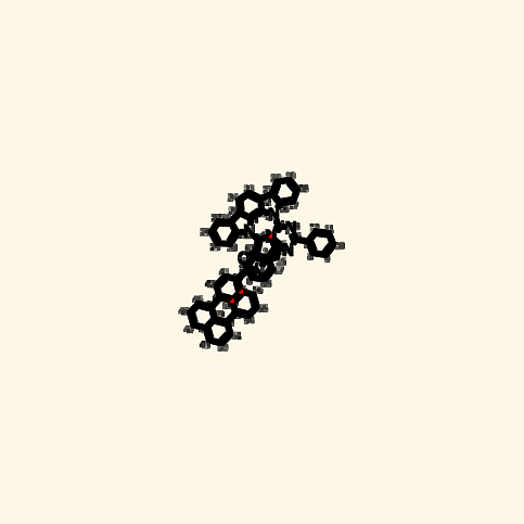 c1ccc(-c2nc(-c3ccccc3)nc(-n3c4ccccc4c4ccc5c6ccccc6n(-c6cccc7nc(-c8ccc(-c9cccc%10cccc(-c%11ccccc%11)c9%10)cc8)oc67)c5c43)n2)cc1